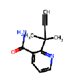 C#CC(C)(C)c1ncccc1C(N)=O